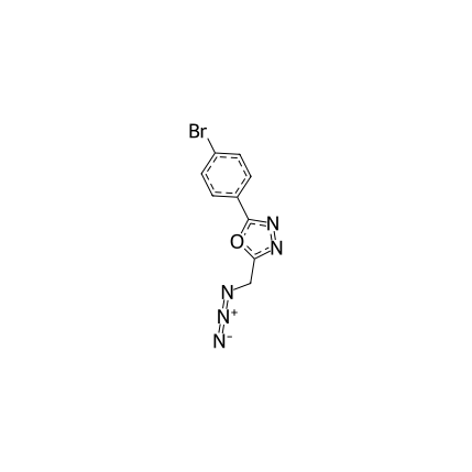 [N-]=[N+]=NCc1nnc(-c2ccc(Br)cc2)o1